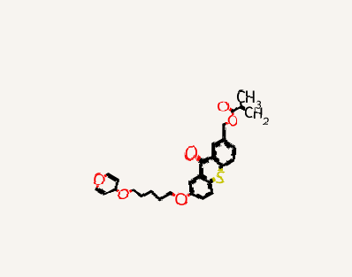 C=C(C)C(=O)OCc1ccc2sc3ccc(OCCCCCOC4C=COC=C4)cc3c(=O)c2c1